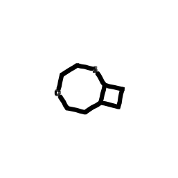 C1CSC2CCC2CCO1